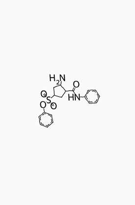 NC1CC(S(=O)(=O)Oc2ccccc2)CC1C(=O)Nc1ccccc1